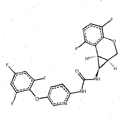 O=C(Nc1ccc(Oc2c(F)cc(F)cc2F)cn1)N[C@@H]1[C@@H]2COc3c(F)ccc(F)c3[C@@H]21